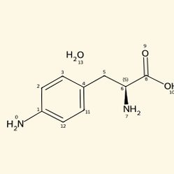 Nc1ccc(C[C@H](N)C(=O)O)cc1.O